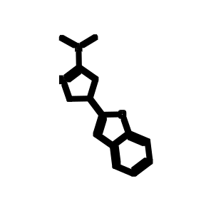 CN(C)C1=NCC(c2cc3ccccc3o2)C1